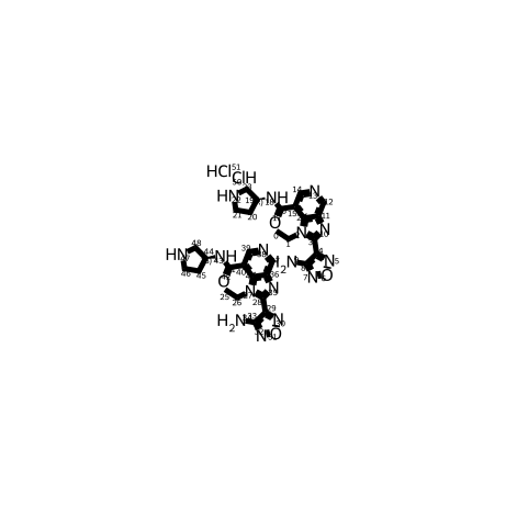 CCn1c(-c2nonc2N)nc2cncc(C(=O)N[C@@H]3CCNC3)c21.CCn1c(-c2nonc2N)nc2cncc(C(=O)N[C@H]3CCNC3)c21.Cl.Cl